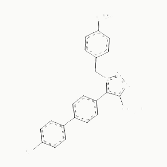 CCOC(=O)c1nnn(Cc2ccc(OC)cc2)c1-c1ccc(-c2ccc(Cl)cc2)cc1